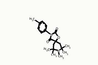 Cc1ccc(N2C(=O)OC3(CC(C)(C)N(C)C(C)(C)C3)C2=O)cc1